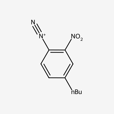 CCCCc1ccc([N+]#N)c([N+](=O)[O-])c1